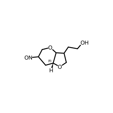 O=NC1COC2C(CCO)CO[C@@H]2C1